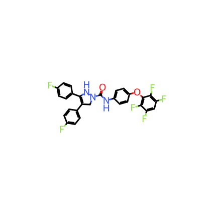 O=C(Nc1ccc(Oc2c(F)c(F)cc(F)c2F)cc1)N1CC(c2ccc(F)cc2)=C(c2ccc(F)cc2)N1